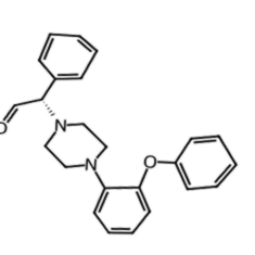 O=C[C@H](c1ccccc1)N1CCN(c2ccccc2Oc2ccccc2)CC1